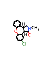 CN1C[C@H]2c3ccccc3Oc3ccc(Cl)cc3[C@@H]2C1=O